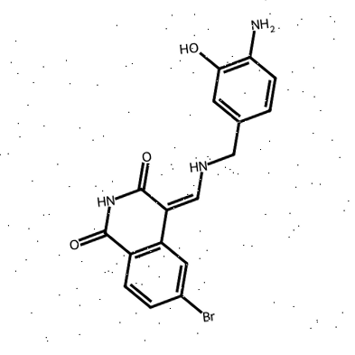 Nc1ccc(CN/C=C2\C(=O)NC(=O)c3ccc(Br)cc32)cc1O